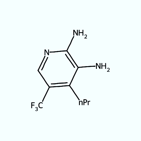 CCCc1c(C(F)(F)F)cnc(N)c1N